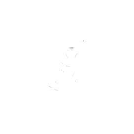 COc1ccc(S(=O)(=O)N2CCN(S(C)(=O)=O)[C@H](C)[C@@H]2C(=O)NO)cc1